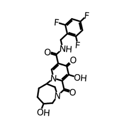 O=C(NCc1c(F)cc(F)cc1F)c1cn2c(c(O)c1=O)C(=O)N1CC(O)CCC2C1